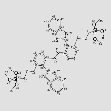 CO[Si](CCCc1cccc(SSc2cccc(CCC[Si](OC)(OC)OC)c2-c2nc3ccccc3s2)c1-c1nc2ccccc2s1)(OC)OC